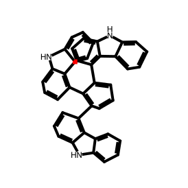 c1cc(-c2cccc3[nH]c4ccccc4c23)c(-c2cccc3[nH]c4ccccc4c23)c(-c2cccc3[nH]c4ccccc4c23)c1